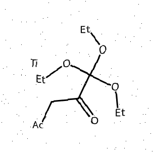 CCOC(OCC)(OCC)C(=O)CC(C)=O.[Ti]